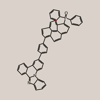 O=P(c1ccccc1)(c1ccccc1)c1ccc2ccc3c(-c4ccc(-c5ccc6c(c5)c5ccccc5c5nc7ccccc7n65)cc4)ccc4ccc1c2c43